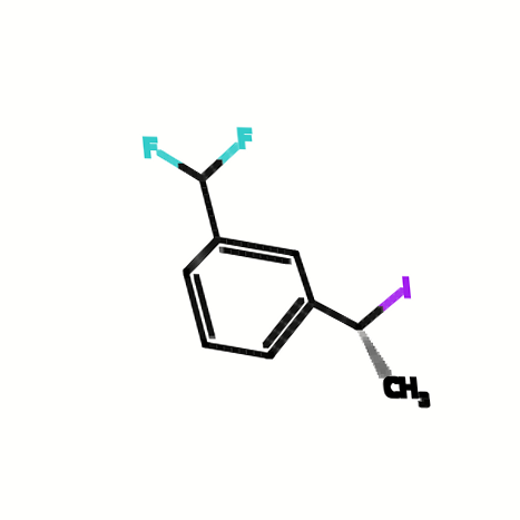 C[C@@H](I)c1cccc(C(F)F)c1